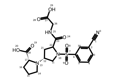 N#Cc1cccc(S(=O)(=O)N2C[C@H](N3CCC[C@@H]3C(=O)O)CC2C(=O)NCC(=O)O)c1